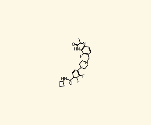 Cc1nc2ccc(CN3CCN(c4ccc(C(=O)NC5CCC5)c(F)c4F)CC3)c(F)c2[nH]c1=O